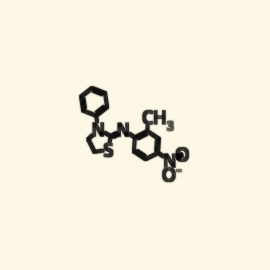 Cc1cc([N+](=O)[O-])ccc1N=C1SCCN1c1ccccc1